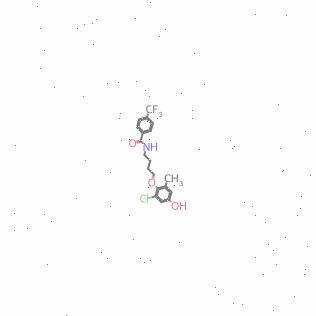 Cc1cc(O)cc(Cl)c1OCCCCNC(=O)c1ccc(C(F)(F)F)cc1